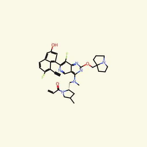 C#Cc1c(F)ccc2cc(O)cc(-c3ncc4c(N(C)C[C@@H]5CC(C)CN5C(=O)C=C)nc(OCC56CCCN5CCC6)nc4c3F)c12